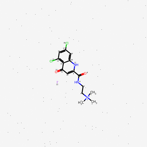 C[N+](C)(C)CCNC(=O)c1cc(=O)c2c(Cl)cc(Cl)cc2[nH]1.[I-]